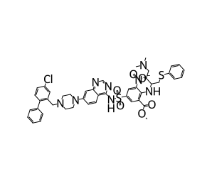 COC(=O)c1cc(S(=O)(=O)Nc2ncnc3cc(N4CCN(Cc5cc(Cl)ccc5-c5ccccc5)CC4)ccc23)cc([N+](=O)[O-])c1NC(CCN(C)C)CSc1ccccc1